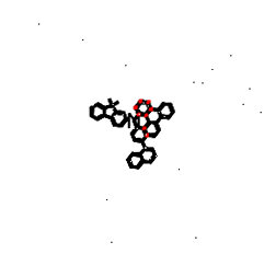 CC1(C)c2ccccc2-c2ccc(N(c3ccc(-c4cccc5ccccc45)cc3)c3ccccc3-c3ccccc3-c3ccccc3-c3ccccc3)cc21